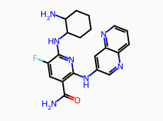 NC(=O)c1cc(F)c(NC2CCCCC2N)nc1Nc1cnc2cccnc2c1